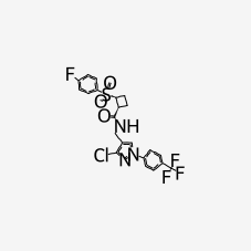 O=C(NCc1cn(-c2ccc(C(F)(F)F)cc2)nc1Cl)[C@@H]1CC[C@@H]1S(=O)(=O)c1ccc(F)cc1